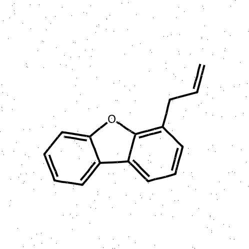 C=CCc1cccc2c1oc1ccccc12